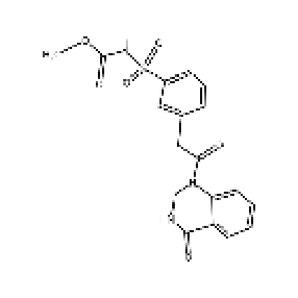 COC(=O)NS(=O)(=O)c1cccc(CC(=O)N2CNC(=O)c3ccccc32)c1